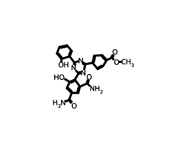 COC(=O)c1ccc(-c2nc(-c3ccccc3O)nc(-c3c(O)cc(C(N)=O)cc3C(N)=O)n2)cc1